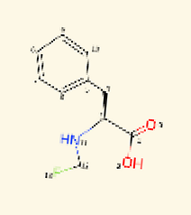 O=C(O)[C@H](Cc1ccccc1)NCF